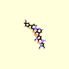 Cc1cc(Nc2cc(-c3ccnc(-n4ncc5c6c(sc5c4=O)CC(C)(C)C6)c3CO)cn(C)c2=O)nn1C